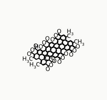 CC1=C2C3=c4c5c6c7c(cc5c5c8c9c(cc%10c%11c%12c(=O)oc(=O)c%13cc(C)c%14c%15cc(C)c%16c(=O)oc(=O)c%17cc%18c%19c%20c(=O)oc(=O)c%21cc%22c(c4c5c4c%22c(c%21%20)c(c%10c94)c%19c%11c(c%18c%15c%17%16)c%14c%13%12)C4C(=O)OC(=O)C(=C1)C34C)C(=O)OC8O)C(=O)OC(=O)C7=C(C)CC26